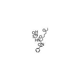 CCC(=O)CCCCCC(NC(=O)[C@@H]1CSC(=O)N1)c1ncc(-c2ccccc2)o1